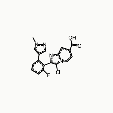 Cn1cc(-c2cccc(F)c2-c2nc3cc(C(=O)O)ccn3c2Cl)cn1